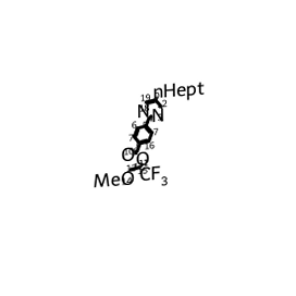 CCCCCCCc1cnc(-c2ccc(C(=O)OC(COC)C(F)(F)F)cc2)nc1